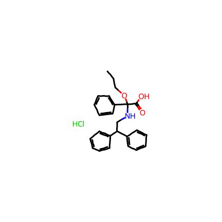 CCCOC(NCC(c1ccccc1)c1ccccc1)(C(=O)O)c1ccccc1.Cl